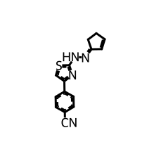 N#Cc1ccc(-c2csc(N/N=C3/C=CCC3)n2)cc1